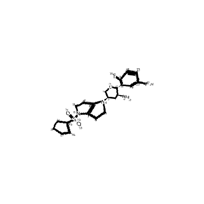 N[C@H]1C[C@@H](N2CCC3=C2CCN3S(=O)(=O)C2CCCC2)CO[C@@H]1c1cc(F)ccc1F